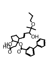 CCCOC(C)(C)C(O)C=CC1CCC(O)C1(CC(=O)O)OC(=O)c1cccc(-c2ccccc2)c1